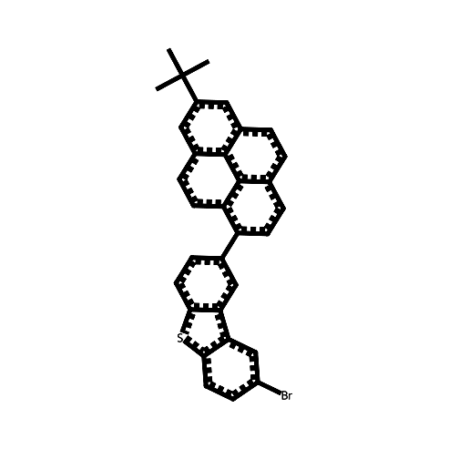 CC(C)(C)c1cc2ccc3ccc(-c4ccc5sc6ccc(Br)cc6c5c4)c4ccc(c1)c2c34